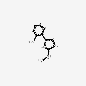 COc1ccccc1-c1csc(NN)n1